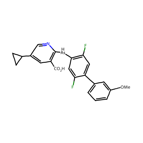 COc1cccc(-c2cc(F)c([AsH]c3ncc(C4CC4)cc3C(=O)O)cc2F)c1